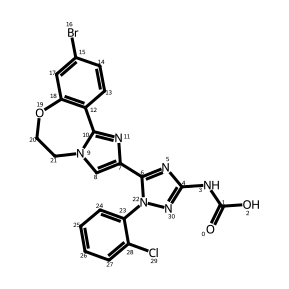 O=C(O)Nc1nc(-c2cn3c(n2)-c2ccc(Br)cc2OCC3)n(-c2ccccc2Cl)n1